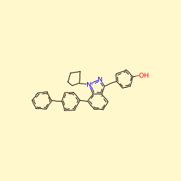 Oc1ccc(-c2nn(C3CCCC3)c3c(-c4ccc(-c5ccccc5)cc4)cccc23)cc1